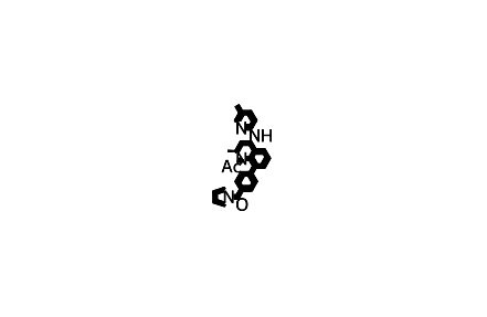 CC(=O)N1c2c(-c3ccc(C(=O)N4CCCC4)cc3)cccc2[C@H](Nc2ccc(C)cn2)C[C@@H]1C